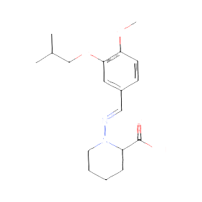 COc1ccc(/C=N/N2CCCCC2C(=O)O)cc1OCC(C)C